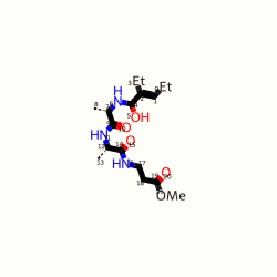 CC/C=C(\CC)C(O)N[C@@H](C)C(=O)N[C@@H](C)C(=O)NCCC(=O)OC